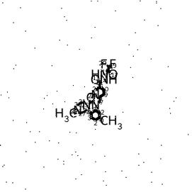 Cc1cccc(N(Cc2ccc(C(=O)NNC(=O)C(F)F)cn2)C(=O)N2CCN(C)CC2)c1